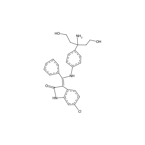 NC(CCO)(CCO)c1ccc(NC(=C2C(=O)Nc3cc(Cl)ccc32)c2ccccc2)cc1